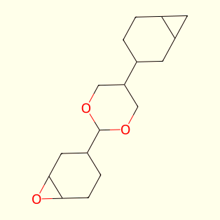 C1CC2CC2CC1C1COC(C2CCC3OC3C2)OC1